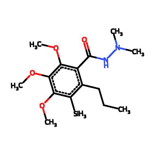 CCCc1c([SiH3])c(OC)c(OC)c(OC)c1C(=O)NN(C)C